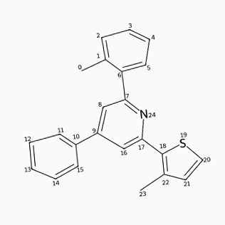 Cc1ccccc1-c1cc(-c2ccccc2)cc(-c2sccc2C)n1